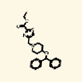 CCOC(=O)c1nc(CN2CCC(OC(c3ccccc3)c3ccccc3)CC2)cs1